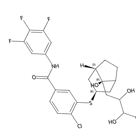 CC(O)C(O)C[C@@]1(O)C2CC[C@H]1C[C@H](Sc1cc(C(=O)Nc3cc(F)c(F)c(F)c3)ccc1Cl)C2